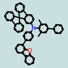 Cc1cc(-c2ccccc2)cc(C)c1N(c1ccc(-c2cccc3c2oc2ccccc23)cc1)c1ccc2c(c1)C1(c3ccccc3-c3ccccc31)c1ccccc1-2